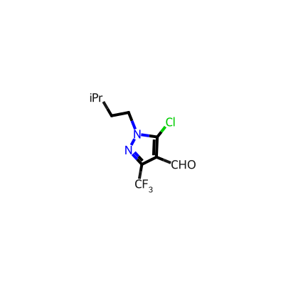 CC(C)CCn1nc(C(F)(F)F)c(C=O)c1Cl